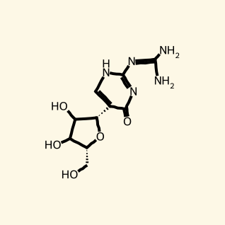 NC(N)=Nc1nc(=O)c([C@@H]2O[C@H](CO)C(O)C2O)c[nH]1